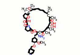 CO[C@H]1C[C@@H]2CCC[C@@](O)(O2)C(=O)C(=O)N2CCCC[C@H]2C(=O)O[C@H]([C@H](N)C[C@@H]2CC[C@@H](OCc3ccc(N=[N+]=[N-])cc3)[C@H](OC)C2)CC(=O)[C@H](C)/C=C(\C)[C@@H](O)[C@@H](O)C(=O)[C@H](C)C[C@H](C)/C=C/C=C/C=C/1C